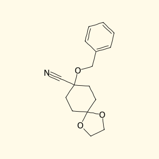 N#CC1(OCc2ccccc2)CCC2(CC1)OCCO2